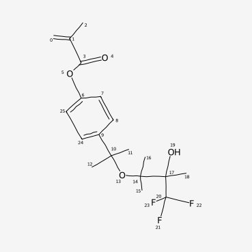 C=C(C)C(=O)Oc1ccc(C(C)(C)OC(C)(C)C(C)(O)C(F)(F)F)cc1